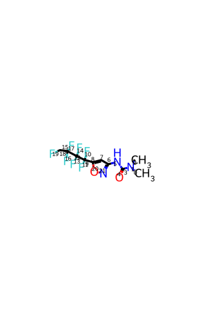 CN(C)C(=O)Nc1cc(C(F)(F)C(F)(F)C(F)(F)CF)on1